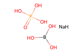 O=P(O)(O)O.OB(O)O.[NaH]